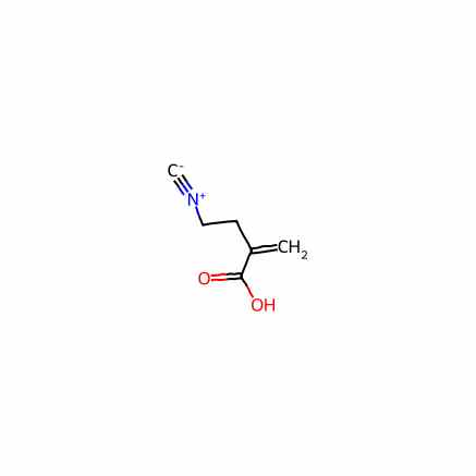 [C-]#[N+]CCC(=C)C(=O)O